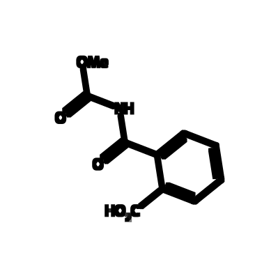 COC(=O)NC(=O)c1ccccc1C(=O)O